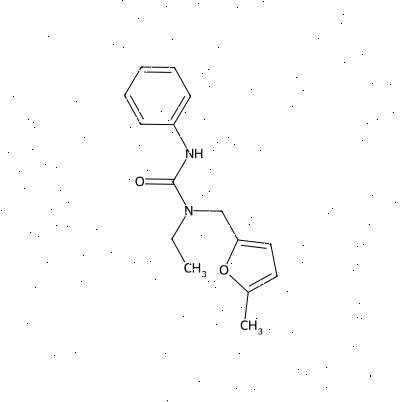 CCN(Cc1ccc(C)o1)C(=O)Nc1ccccc1